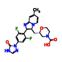 Cc1ccn2c(C[C@H]3CN(C(=O)O)CCO3)c(-c3c(F)cc(-n4nc[nH]c4=O)cc3F)nc2c1